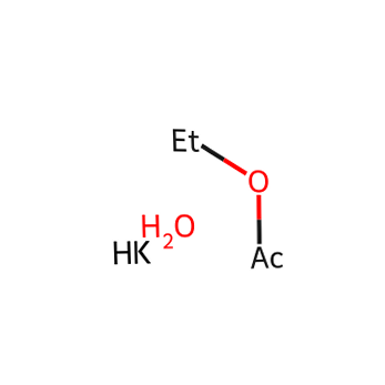 CCOC(C)=O.O.[KH]